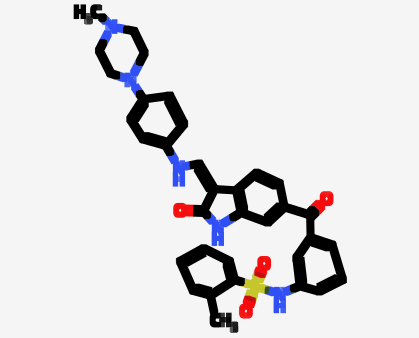 Cc1ccccc1S(=O)(=O)Nc1cccc(C(=O)c2ccc3c(c2)NC(=O)C3=CNc2ccc(N3CCN(C)CC3)cc2)c1